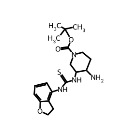 CC(C)(C)OC(=O)N1CCC(N)C(NC(=S)Nc2cccc3c2CCO3)C1